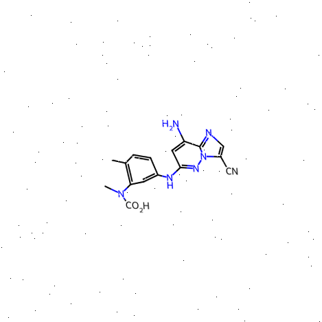 Cc1ccc(Nc2cc(N)c3ncc(C#N)n3n2)cc1N(C)C(=O)O